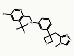 Cn1cnnc1CC1(c2cccc(NCc3ncc(Br)cc3C(F)(F)F)c2)COC1